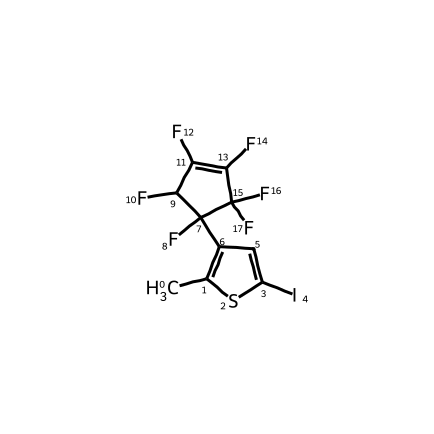 Cc1sc(I)cc1C1(F)C(F)C(F)=C(F)C1(F)F